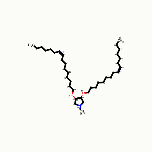 CCCCCC/C=C\CCCCCCCCO[C@@H]1CN(C)C[C@H]1OCCCCCCCC/C=C\CCCCCC